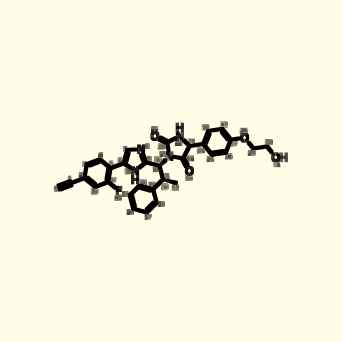 C#Cc1ccc(-c2cnc([C@H]([C@@H](C)c3ccccc3)N3C(=O)NC(c4ccc(OCCO)cc4)C3=O)[nH]2)c(F)c1